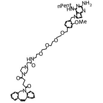 CCCCCNc1nc(N)nc2ccn(Cc3ccc(COCCOCCOCCOCCNC(=O)CN4CCN(C(=O)CCC(=O)N5Cc6ccccc6C#Cc6ccccc65)CC4)cc3OC)c12